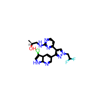 C[C@H](O)CNc1nccc(-c2cn(CC(F)F)nc2C2=CC3C(Cl)=CNC3N=C2)n1